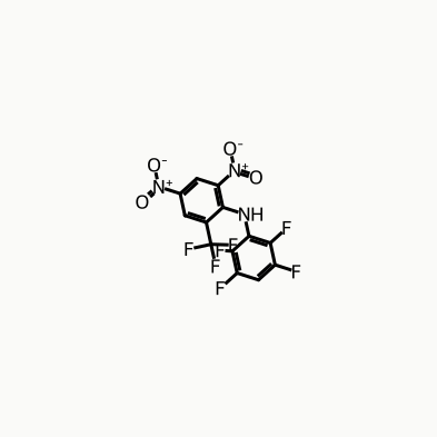 O=[N+]([O-])c1cc([N+](=O)[O-])c(Nc2c(F)c(F)cc(F)c2F)c(C(F)(F)F)c1